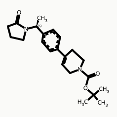 C[C@@H](c1ccc(C2=CCN(C(=O)OC(C)(C)C)CC2)cc1)N1CCCC1=O